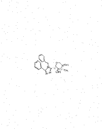 O[C@@H]1[C@@H](O)[C@H](c2nnc(-c3ccccc3)n2Cc2ccccc2)OC[C@H]1O